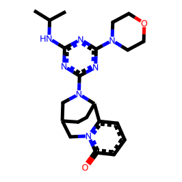 CC(C)Nc1nc(N2CCOCC2)nc(N2CC3CCC2c2cccc(=O)n2C3)n1